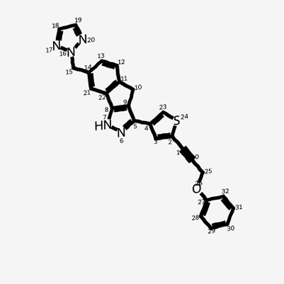 C(#Cc1cc(-c2n[nH]c3c2Cc2ccc(Cn4nccn4)cc2-3)cs1)COc1ccccc1